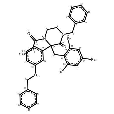 CC(C)(C)OC(=O)N1CCN(Cc2ccccc2)C(=O)C1(Cc1c(Br)cc(F)cc1Br)c1cccc(OCc2ccccc2)c1